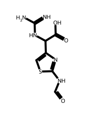 N=C(N)NC(C(=O)O)c1csc(NC=O)n1